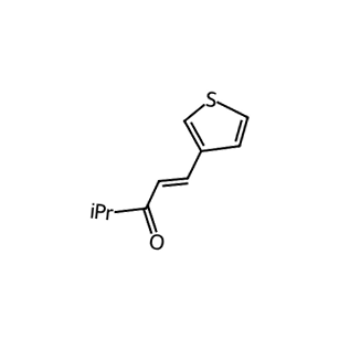 CC(C)C(=O)/C=C/c1ccsc1